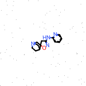 c1ccc(NC2=NOC3(C2)CN2CCC3CC2)nc1